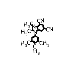 Cc1cc(N2c3cc(C#N)cc(C#N)c3N(C)[C@@H]2C)cc(C)c1C